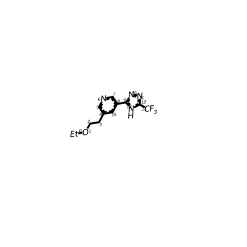 CCOCCc1cncc(-c2nnc(C(F)(F)F)[nH]2)c1